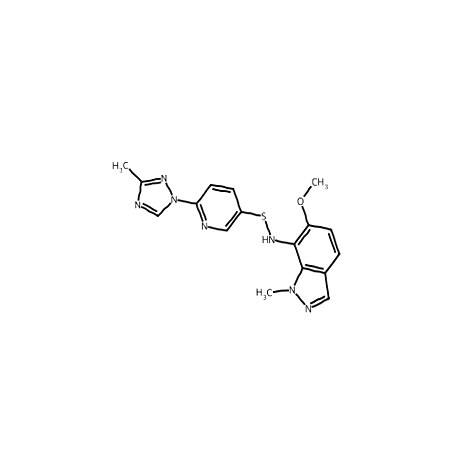 COc1ccc2cnn(C)c2c1NSc1ccc(-n2cnc(C)n2)nc1